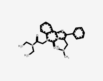 CCN(CC)C(=O)Cn1c(=O)n2c(CN(C)C)c(-c3ccccc3)nc2c2ccccc21